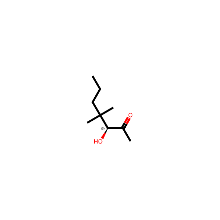 CCCC(C)(C)[C@H](O)C(C)=O